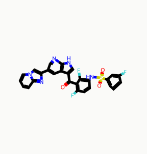 O=C(c1c(F)ccc(NS(=O)(=O)c2cccc(F)c2)c1F)c1c[nH]c2ncc(-c3cn4ccccc4n3)cc12